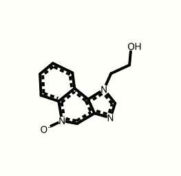 [O-][n+]1cc2ncn(CCO)c2c2ccccc21